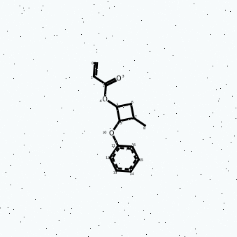 C=CC(=O)OC1CC(C)C1Oc1ccccc1